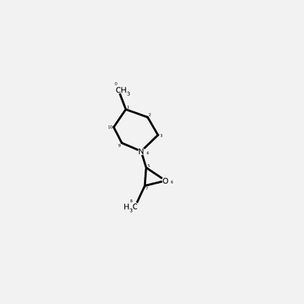 CC1CCN(C2OC2C)CC1